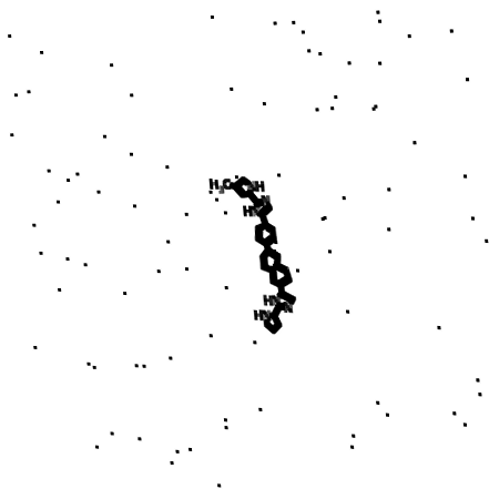 CC1=CC(c2ncc(-c3ccc(-c4ccc5cc(-c6cnc(C7CCCN7)[nH]6)ccc5c4)cc3)[nH]2)NC1